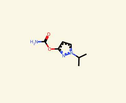 CC(C)n1ccc(OC(N)=O)n1